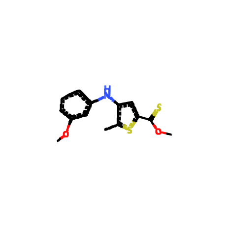 COC(=S)c1cc(Nc2cccc(OC)c2)c(C)s1